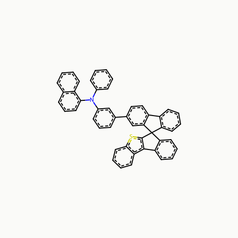 c1ccc(N(c2cccc(-c3ccc4c(c3)C3(c5ccccc5-4)c4ccccc4-c4c3sc3ccccc43)c2)c2cccc3ccccc23)cc1